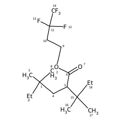 CCC(C)(C)CC(C(=O)OCCC(F)(F)C(F)(F)F)C(C)(C)CC